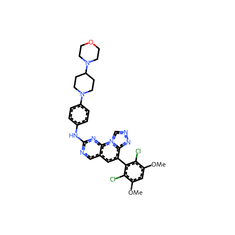 COc1cc(OC)c(Cl)c(-c2cc3cnc(Nc4ccc(N5CCC(N6CCOCC6)CC5)cc4)nc3n3cnnc23)c1Cl